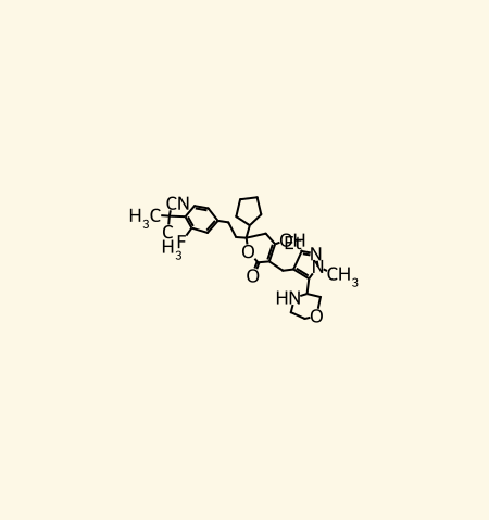 CCc1nn(C)c(C2COCCN2)c1CC1=C(O)CC(CCc2ccc(C(C)(C)C#N)c(F)c2)(C2CCCC2)OC1=O